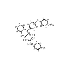 O=C(Nc1ccc(F)cc1)NC(Cc1ccccc1)C(O)CN1CCC(Cc2ccc(F)cc2)CC1